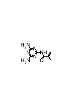 C=C(C)C(=O)Nc1nc(N)nc(N)n1